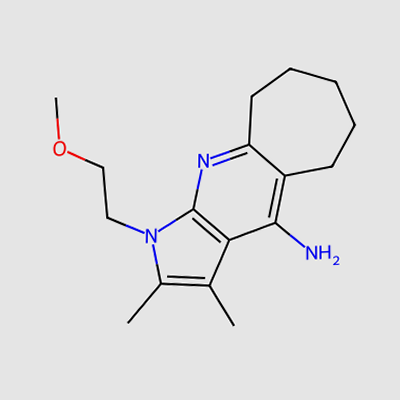 COCCn1c(C)c(C)c2c(N)c3c(nc21)CCCCC3